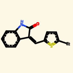 CCc1ccc(C=C2C(=O)Nc3ccccc32)s1